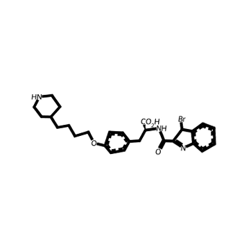 O=C(N[C@@H](Cc1ccc(OCCCCC2CCNCC2)cc1)C(=O)O)C1=Nc2ccccc2C1Br